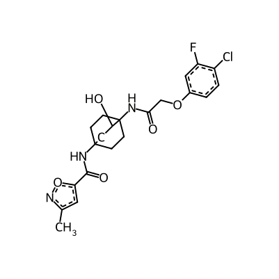 Cc1cc(C(=O)NC23CCC(NC(=O)COc4ccc(Cl)c(F)c4)(CC2)C(O)C3)on1